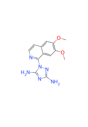 COc1cc2ccnc(-n3nc(N)nc3N)c2cc1OC